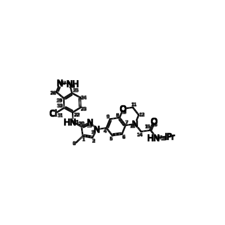 Cc1cn(-c2ccc3c(c2)OCCN3CC(=O)NC(C)C)nc1Nc1ccc2[nH]ncc2c1Cl